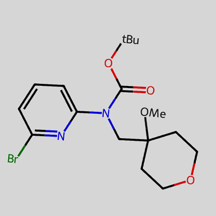 COC1(CN(C(=O)OC(C)(C)C)c2cccc(Br)n2)CCOCC1